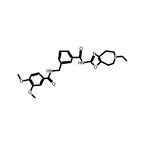 CCN1CCc2nc(NC(=O)c3cccc(CNC(=O)c4ccc(OC)c(OC)c4)c3)oc2CC1